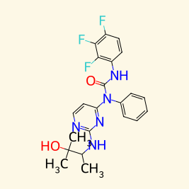 CC(Nc1nccc(N(C(=O)Nc2ccc(F)c(F)c2F)c2ccccc2)n1)C(C)(C)O